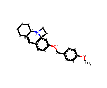 COc1ccc(COc2ccc(/C=C3/CCCCC3N3CCC3)cc2)cc1